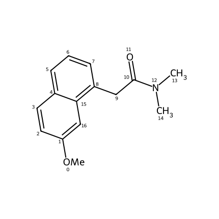 COc1ccc2cccc(CC(=O)N(C)C)c2c1